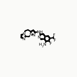 Nc1c(F)c(C(F)F)cc2cc(Nc3cc4n(n3)Cc3nccn3CC4)ncc12